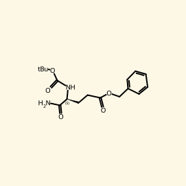 CC(C)(C)OC(=O)N[C@@H](CCC(=O)OCc1ccccc1)C(N)=O